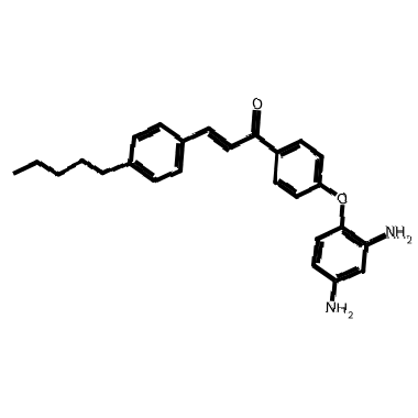 CCCCCc1ccc(/C=C/C(=O)c2ccc(Oc3ccc(N)cc3N)cc2)cc1